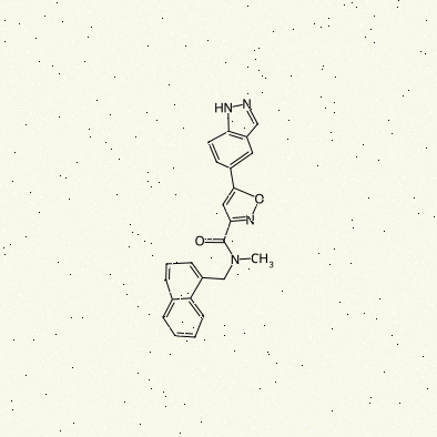 CN(Cc1cccc2ccccc12)C(=O)c1cc(-c2ccc3[nH]ncc3c2)on1